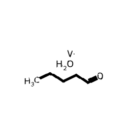 CCCCC=O.O.[V]